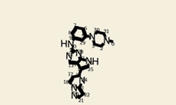 CN1CCN(c2cccc(Nc3ncc4c(-c5ccn6nccc6n5)c[nH]c4n3)c2)CC1